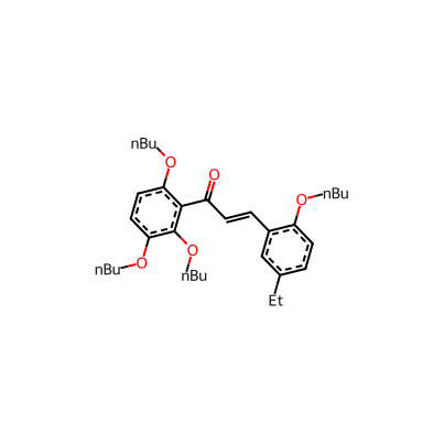 CCCCOc1ccc(CC)cc1C=CC(=O)c1c(OCCCC)ccc(OCCCC)c1OCCCC